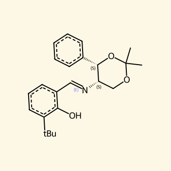 CC1(C)OC[C@H](/N=C/c2cccc(C(C)(C)C)c2O)[C@H](c2ccccc2)O1